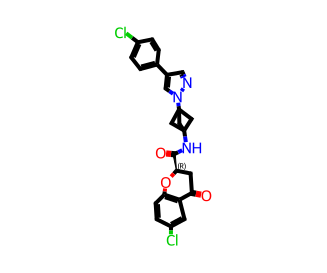 O=C1C[C@H](C(=O)NC23CC(n4cc(-c5ccc(Cl)cc5)cn4)(C2)C3)Oc2ccc(Cl)cc21